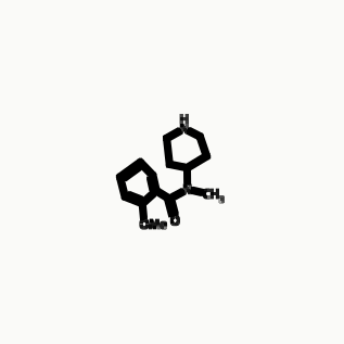 COc1ccccc1C(=O)N(C)C1CCNCC1